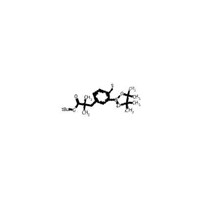 CC(C)(C)OC(=O)C(C)(C)Cc1ccc(F)c(B2OC(C)(C)C(C)(C)O2)c1